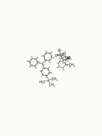 CC(C)(C)c1ccc([S+](c2ccccc2)c2ccccc2)cc1.CC12CCC(C(S(=O)(=O)[O-])C1=O)C2(C)C